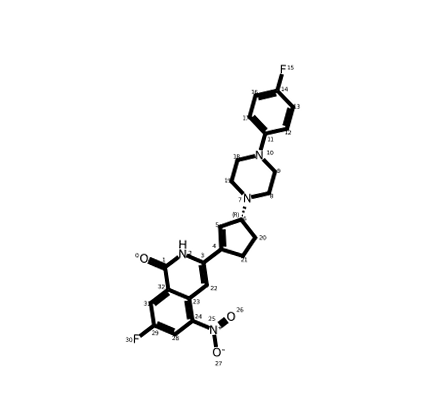 O=c1[nH]c(C2=C[C@H](N3CCN(c4ccc(F)cc4)CC3)CC2)cc2c([N+](=O)[O-])cc(F)cc12